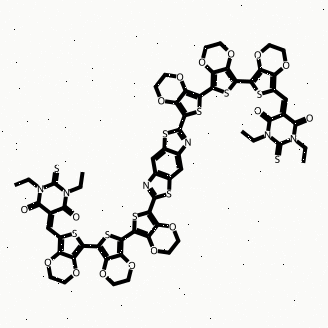 CCN1C(=O)C(=Cc2sc(-c3sc(-c4sc(-c5nc6cc7sc(-c8sc(-c9sc(-c%10sc(C=C%11C(=O)N(CC)C(=S)N(CC)C%11=O)c%11c%10OCCO%11)c%10c9OCCO%10)c9c8OCCO9)nc7cc6s5)c5c4OCCO5)c4c3OCCO4)c3c2OCCO3)C(=O)N(CC)C1=S